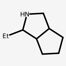 CCC1NCC2CCCC21